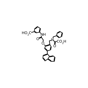 O=C(COc1cc(-c2cccc3ccccc23)ccc1CN(Cc1ccccc1)C(=O)C(=O)O)Nc1cccc(C(=O)O)c1